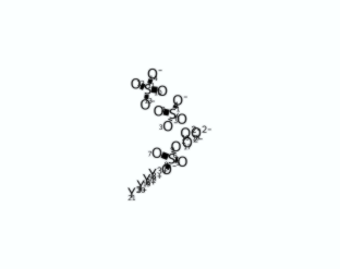 O=S(=O)([O-])[O-].O=S(=O)([O-])[O-].O=S(=O)([O-])[O-].[O-2].[O-2].[O-2].[Y+3].[Y+3].[Y+3].[Y+3]